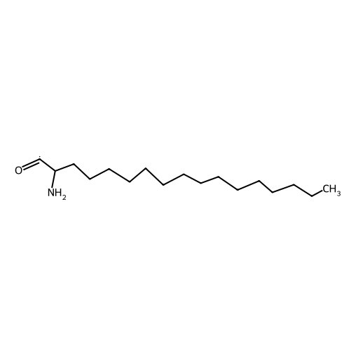 CCCCCCCCCCCCCCCC(N)[C]=O